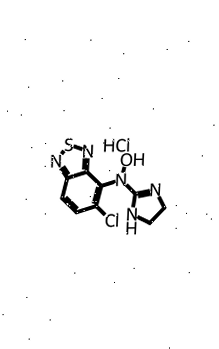 Cl.ON(C1=NCCN1)c1c(Cl)ccc2nsnc12